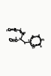 O=B/C=N\C(C=O)Cc1ccccc1